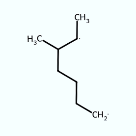 [CH2]CCCC(C)[CH]C